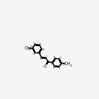 Cc1ccc(C(=S)C=Cc2cccc(Cl)c2)cc1